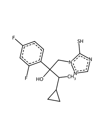 CC(C1CC1)C(O)(Cn1ncnc1S)c1ccc(F)cc1F